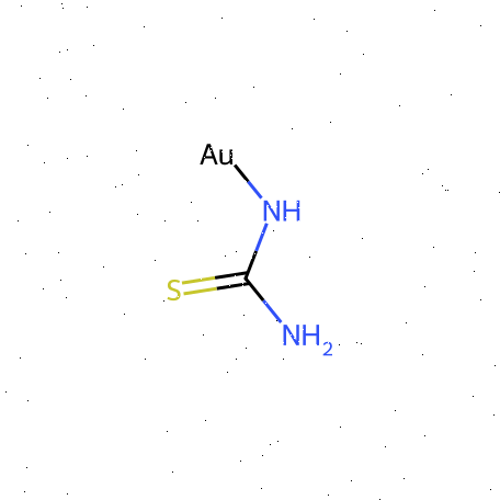 NC(=S)[NH][Au]